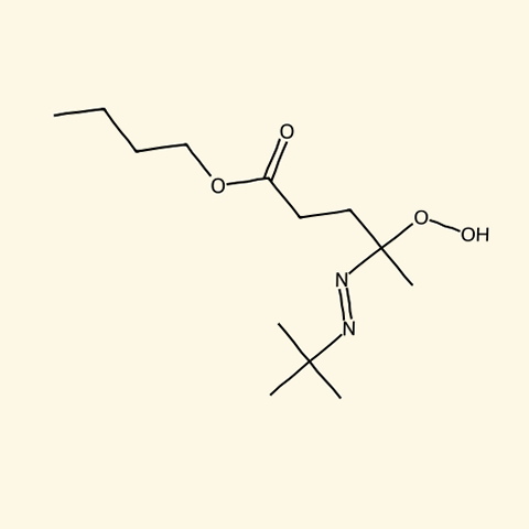 CCCCOC(=O)CCC(C)(N=NC(C)(C)C)OO